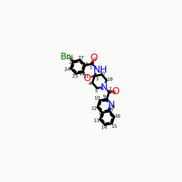 O=C1NC2(CCN(C(=O)c3ccc4ccccc4n3)CC2)Oc2ccc(Br)cc21